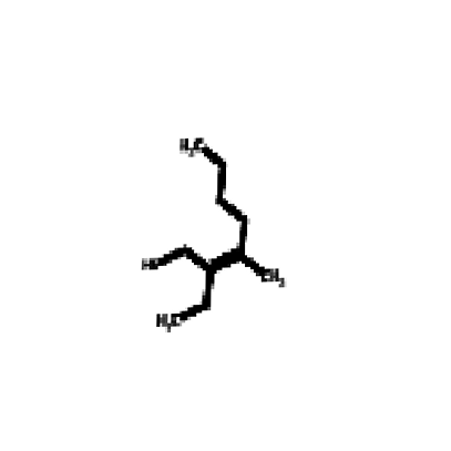 CCCCC(C)=C(CC)CS